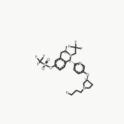 C[C@@H]1Cc2cc(OS(=O)(=O)C(F)(F)F)ccc2[C@@H](c2ccc(O[C@H]3CCN(CCCF)C3)cn2)N1CC(F)(F)F